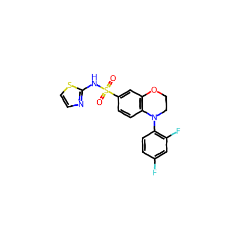 O=S(=O)(Nc1nccs1)c1ccc2c(c1)OCCN2c1ccc(F)cc1F